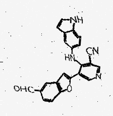 N#Cc1cncc(-c2cc3cc(C=O)ccc3o2)c1Nc1ccc2[nH]ccc2c1